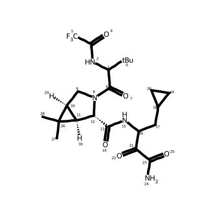 CC(C)(C)C(NC(=O)C(F)(F)F)C(=O)N1C[C@H]2[C@@H]([C@H]1C(=O)NC(CC1CC1)C(=O)C(N)=O)C2(C)C